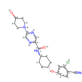 N#Cc1ccc(O[C@H]2CC[C@H](NC(=O)c3cnc(N4CCC(=O)CC4)cn3)CC2)cc1Cl